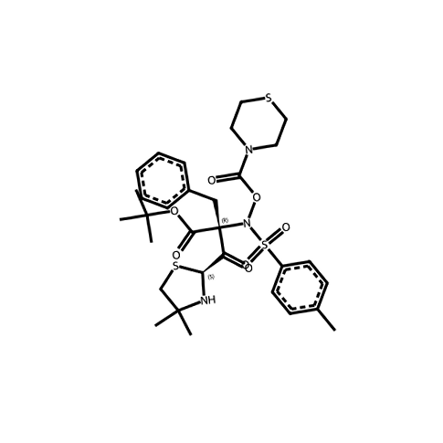 Cc1ccc(S(=O)(=O)N(OC(=O)N2CCSCC2)[C@@](Cc2ccccc2)(C(=O)OC(C)(C)C)C(=O)[C@H]2NC(C)(C)CS2)cc1